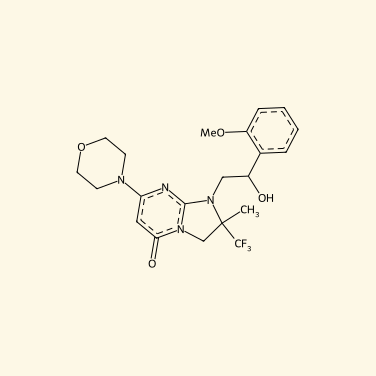 COc1ccccc1C(O)CN1c2nc(N3CCOCC3)cc(=O)n2CC1(C)C(F)(F)F